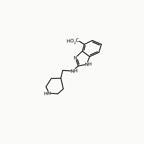 O=C(O)c1cccc2[nH]c(NCC3CCNCC3)nc12